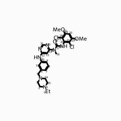 CCN1CCN(Cc2cccc(Nc3cc(N(C)C(=O)Nc4c(Cl)c(OC)cc(OC)c4Cl)ncn3)c2)CC1